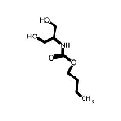 CCCCOC(=O)NC(CO)CO